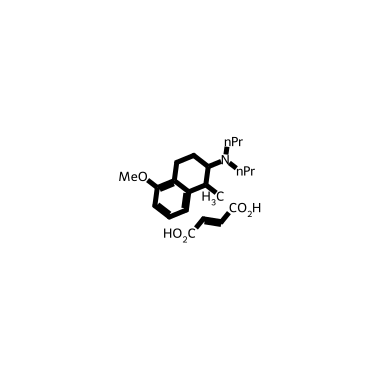 CCCN(CCC)C1CCc2c(OC)cccc2C1C.O=C(O)C=CC(=O)O